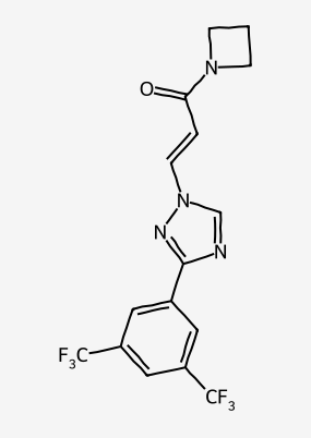 O=C(C=Cn1cnc(-c2cc(C(F)(F)F)cc(C(F)(F)F)c2)n1)N1CCC1